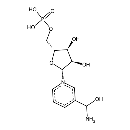 NC(O)c1ccc[n+]([C@@H]2O[C@H](COP(=O)(O)O)[C@@H](O)[C@H]2O)c1